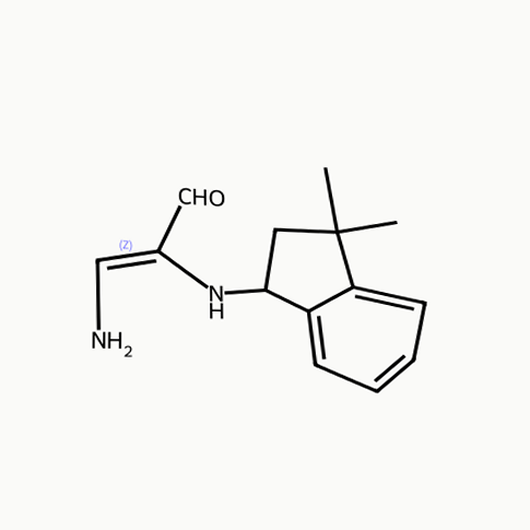 CC1(C)CC(N/C(C=O)=C\N)c2ccccc21